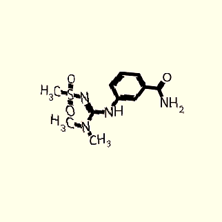 CN(C)C(=NS(C)(=O)=O)Nc1cccc(C(N)=O)c1